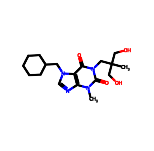 Cn1c(=O)n(CC(C)(CO)CO)c(=O)c2c1ncn2CC1CCCCC1